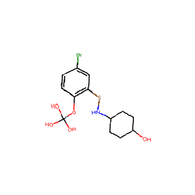 OC1CCC(NSc2cc(Br)ccc2OC(O)(O)O)CC1